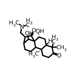 CN(C)CC1C(=O)C23C(O)C1CCC2[C@]1(C)CCC(=O)C(C)(C)[C@H]1C[C@H]3O